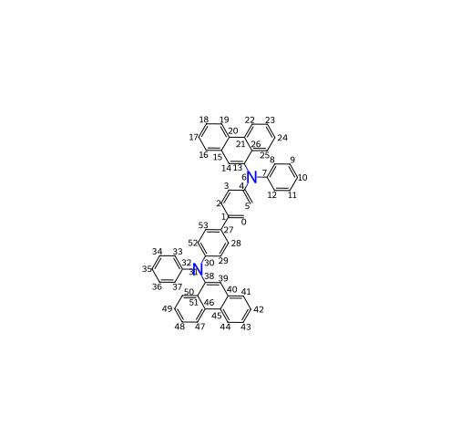 C=C(/C=C\C(=C)N(c1ccccc1)c1cc2ccccc2c2ccccc12)c1ccc(N(c2ccccc2)c2cc3ccccc3c3ccccc23)cc1